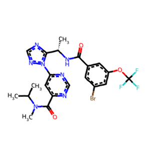 CC(C)N(C)C(=O)c1cc(-n2ncnc2[C@H](C)NC(=O)c2cc(Br)cc(OC(F)(F)F)c2)ncn1